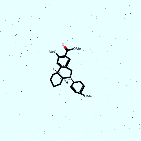 COC(=O)c1cc2c(cc1OC)[C@@H]1CCCC[C@@H]1[C@H](C1C=CC(OC)=CC1)C2